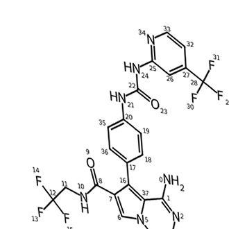 Nc1ncnn2cc(C(=O)NCC(F)(F)F)c(-c3ccc(NC(=O)Nc4cc(C(F)(F)F)ccn4)cc3)c12